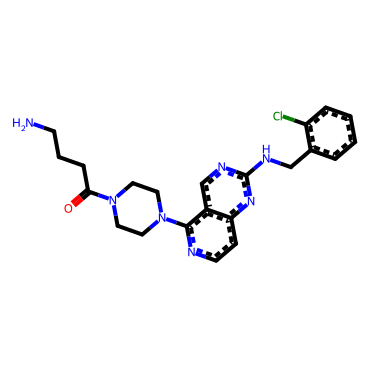 NCCCC(=O)N1CCN(c2nccc3nc(NCc4ccccc4Cl)ncc23)CC1